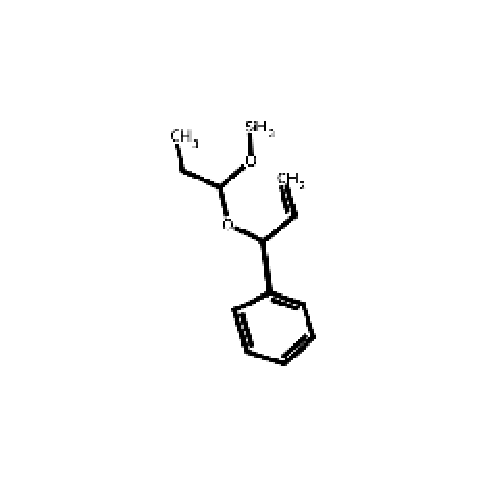 C=CC(OC(CC)O[SiH3])c1ccccc1